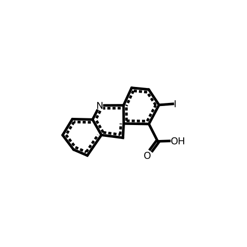 O=C(O)c1c(I)ccc2nc3ccccc3cc12